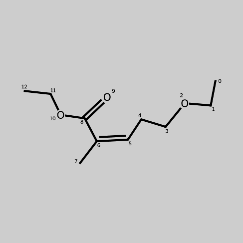 CCOCCC=C(C)C(=O)OCC